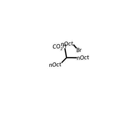 CCCCCCCCBr.CCCCCCCCC(CCCCCCCC)C(=O)O